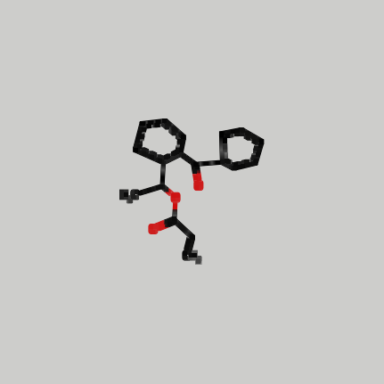 C=CC(=O)OC(C)c1ccccc1C(=O)c1ccccc1